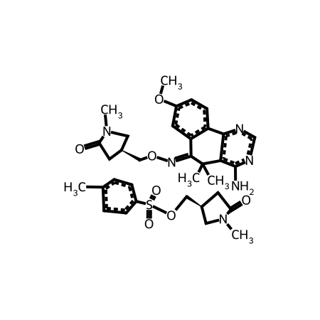 COc1ccc2c(c1)/C(=N\OC[C@H]1CC(=O)N(C)C1)C(C)(C)c1c(N)ncnc1-2.Cc1ccc(S(=O)(=O)OC[C@H]2CC(=O)N(C)C2)cc1